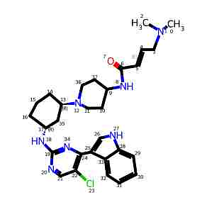 CN(C)C/C=C/C(=O)NC1CCN([C@@H]2CCC[C@@H](Nc3ncc(Cl)c(-c4c[nH]c5ccccc45)n3)C2)CC1